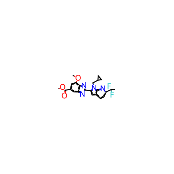 COC(=O)c1cc(OC)c2c(c1)nc(-c1cc3ccc(C(C)(F)F)nc3n1CC1CC1)n2C